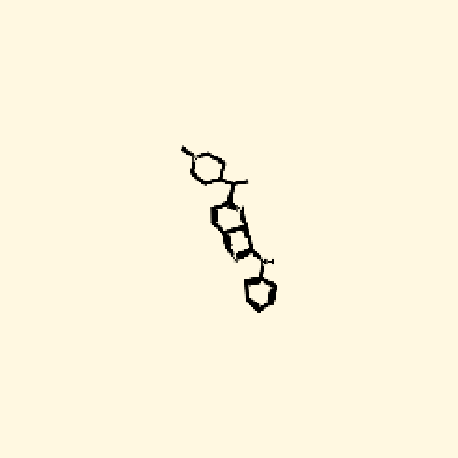 CC(c1ccc2cnc(Nc3ccccc3)cc2n1)C1CCN(C)CC1